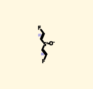 [O-][S+](/C=C/F)/C=C/F